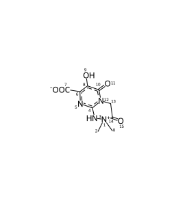 C[N+]1(C)Nc2nc(C(=O)[O-])c(O)c(=O)n2CC1=O